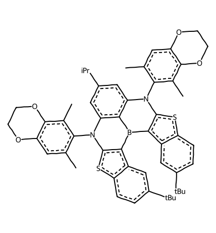 Cc1cc2c(c(C)c1N1c3cc(C(C)C)cc4c3B(c3c1sc1ccc(C(C)(C)C)cc31)c1c(sc3ccc(C(C)(C)C)cc13)N4c1c(C)cc3c(c1C)OCCO3)OCCO2